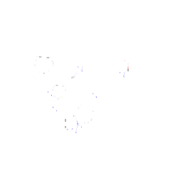 CCc1nn2c(C)cc(N3CCC4(CN(C(=O)C5CCOCC5)C4)C3)cc2c1N(C)c1nc(-c2ccc(F)cc2)c(C#N)s1